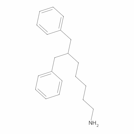 NCCCCCC(Cc1ccccc1)Cc1ccccc1